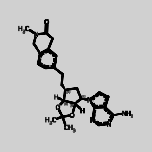 CN1Cc2ccc(CC[C@H]3C[C@@H](n4ccc5c(N)ncnc54)[C@@H]4OC(C)(C)O[C@H]34)cc2CC1=O